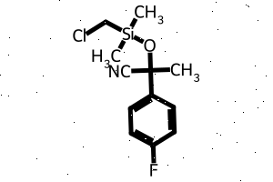 CC(C#N)(O[Si](C)(C)CCl)c1ccc(F)cc1